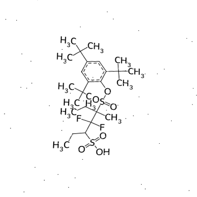 CCC(C(F)(F)C(C)(CC)S(=O)(=O)Oc1c(C(C)(C)C)cc(C(C)(C)C)cc1C(C)(C)C)S(=O)(=O)O